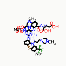 CN(Cc1cnc2nc(N)nc(N)c2n1)c1ccc(C(=O)N[C@@H](CCC(=O)O)C(=O)O)cc1.CN1CCN(CCCN2c3ccccc3Sc3ccc(C(F)(F)F)cc32)CC1.O=[Se](=O)([O-])[O-].[Na+].[Na+]